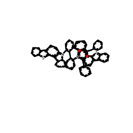 c1ccc(-c2cc(-c3cccc(-n4c5ccccc5c5c6sc7ccccc7c6ccc54)c3-c3ccccc3-n3c4ccccc4c4c5sc6ccccc6c5ccc43)nc(-c3ccccc3)n2)cc1